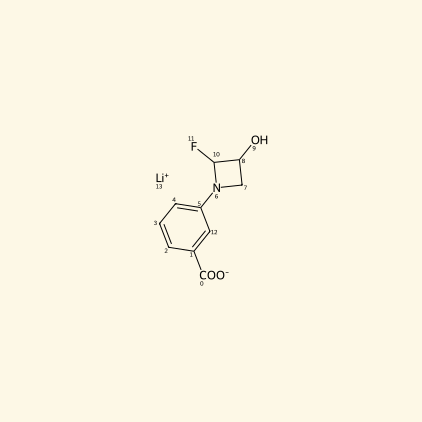 O=C([O-])c1cccc(N2CC(O)C2F)c1.[Li+]